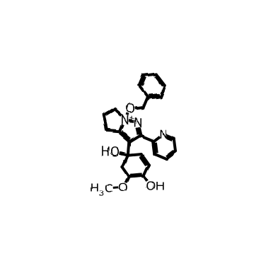 COC1=C(O)C=CC(O)(C2=C3CCC[N+]3(OCc3ccccc3)N=C2c2ccccn2)C1